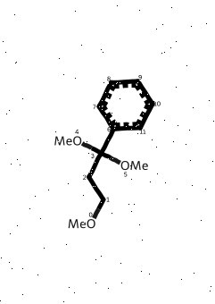 COCCC(OC)(OC)c1ccccc1